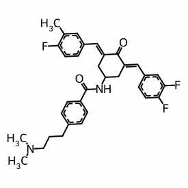 Cc1cc(/C=C2\CC(NC(=O)c3ccc(CCCN(C)C)cc3)C/C(=C\c3ccc(F)c(F)c3)C2=O)ccc1F